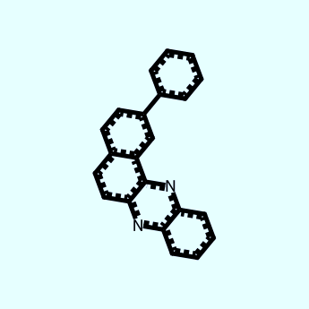 c1ccc(-c2ccc3ccc4nc5ccccc5nc4c3c2)cc1